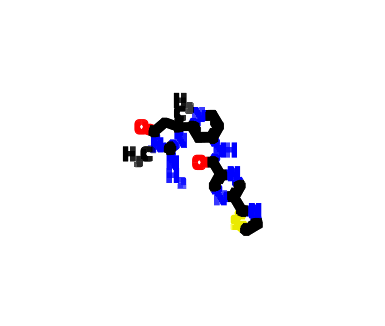 CN1C(=O)CC(C)(c2cc(NC(=O)c3cnc(-c4nccs4)cn3)ccn2)N=C1N